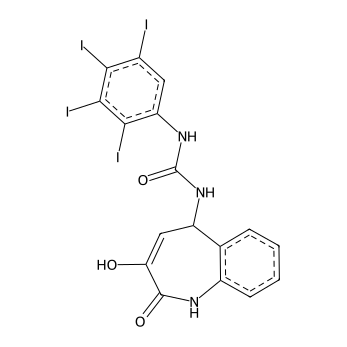 O=C(Nc1cc(I)c(I)c(I)c1I)NC1C=C(O)C(=O)Nc2ccccc21